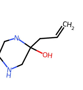 C=CCC1(O)CNCC[N]1